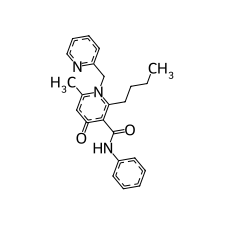 CCCCc1c(C(=O)Nc2ccccc2)c(=O)cc(C)n1Cc1ccccn1